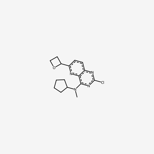 CN(c1nc(Cl)nc2ccc(C3CCO3)nc12)C1CCCC1